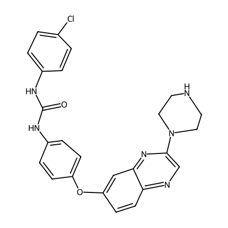 O=C(Nc1ccc(Cl)cc1)Nc1ccc(Oc2ccc3ncc(N4CCNCC4)nc3c2)cc1